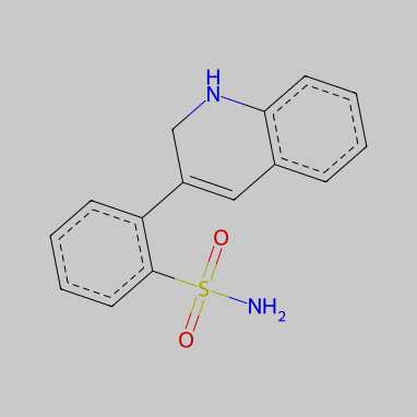 NS(=O)(=O)c1ccccc1C1=Cc2ccccc2NC1